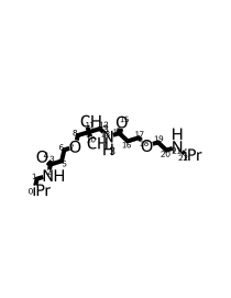 CC(C)CNC(=O)CCOCC(C)(C)CNC(=O)CCOCCNC(C)C